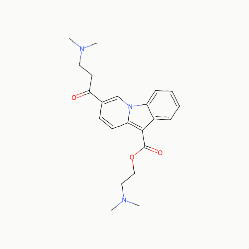 CN(C)CCOC(=O)c1c2ccccc2n2cc(C(=O)CCN(C)C)ccc12